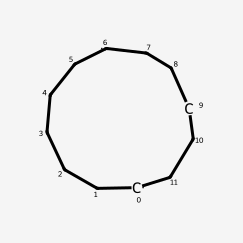 [CH]1CCCCC[CH]CCCCC1